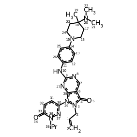 C=CCn1c(=O)c2cnc(Nc3ccc(N4CCC(C)(N(C)C)CC4)cc3)nc2n1-c1ccc(=O)n(C(C)C)n1